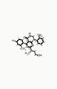 Cc1cc(F)ccc1-c1nc(N(C)CCO)nc2c1C(=O)NCN2c1ccccc1C